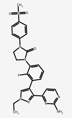 CCn1cc(-c2cccc(N3CCN(c4ccc(S(C)(=O)=O)cc4)C3=O)c2F)c(-c2ccnc(N)n2)n1